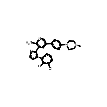 CN1CCN(c2ccc(-c3cnc(N)c(-c4nccn4-c4cccc(Cl)c4Cl)c3)cc2)CC1